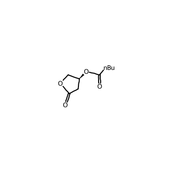 CCCCC(=O)O[C@@H]1COC(=O)C1